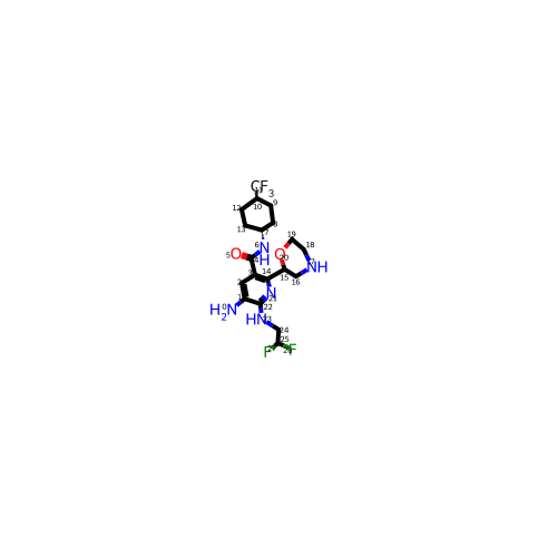 Nc1cc(C(=O)N[C@H]2CC[C@H](C(F)(F)F)CC2)c(C2CNCCO2)nc1NCC(F)F